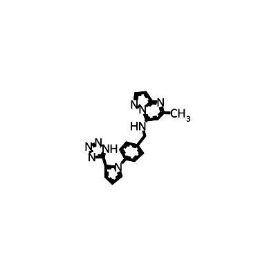 Cc1cc(NCc2ccc(-n3cccc3-c3nnn[nH]3)cc2)n2nccc2n1